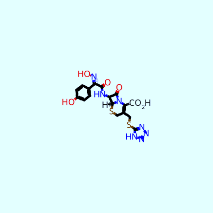 O=C(O)C1=C(CSc2nnn[nH]2)CS[C@@H]2C(NC(=O)/C(=N/O)c3ccc(O)cc3)C(=O)N12